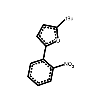 CC(C)(C)c1ccc(-c2ccccc2[N+](=O)[O-])o1